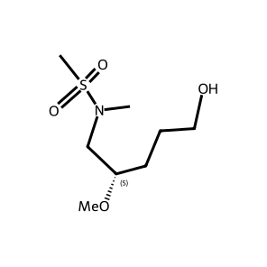 CO[C@@H](CCCO)CN(C)S(C)(=O)=O